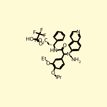 CCOc1cc(C(C(=O)N[C@H](CC(=O)O)c2ccccc2)N(N)c2ccc3cnccc3c2)ccc1OC(C)C.O=C(O)C(F)(F)F